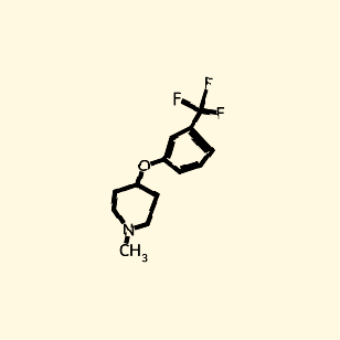 CN1CCC(Oc2cccc(C(F)(F)F)c2)CC1